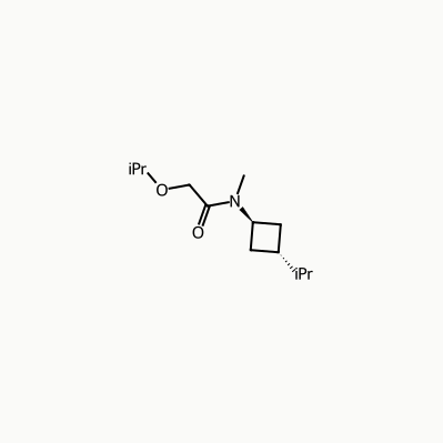 CC(C)OCC(=O)N(C)[C@H]1C[C@H](C(C)C)C1